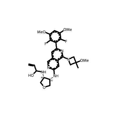 C=CC(O)N[C@H]1COC[C@H]1Nc1cc2c(N3CC(C)(OC)C3)nc(-c3c(F)c(OC)cc(OC)c3F)cc2cn1